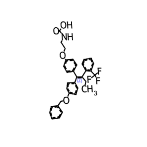 CC/C(=C(/c1ccc(OCCNC(=O)O)cc1)c1ccc(OCc2ccccc2)cc1)c1ccccc1C(F)(F)F